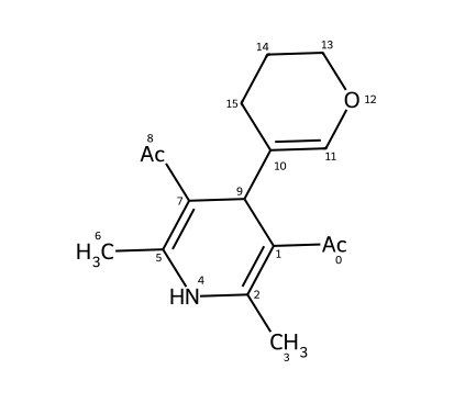 CC(=O)C1=C(C)NC(C)=C(C(C)=O)C1C1=COCCC1